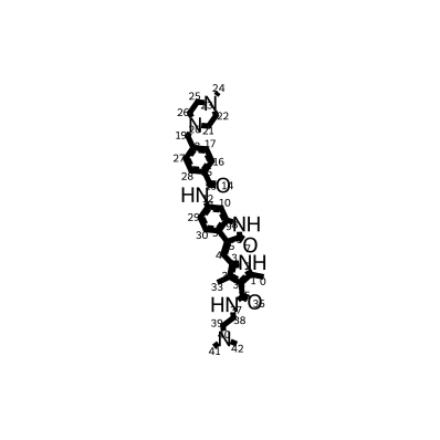 Cc1[nH]c(C=C2C(=O)Nc3cc(NC(=O)c4ccc(CN5CCN(C)CC5)cc4)ccc32)c(C)c1C(=O)NCCN(C)C